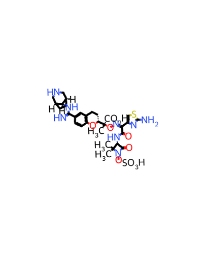 CC1(C)[C@H](NC(=O)/C(=N\O[C@](C)(C(=O)O)[C@H]2CCc3cc(C(=N)N[C@@H]4[C@@H]5CC[C@H]4CNC5)ccc3O2)c2csc(N)n2)C(=O)N1OS(=O)(=O)O